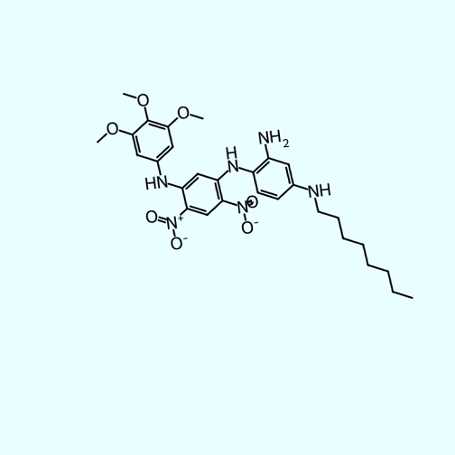 CCCCCCCCNc1ccc(Nc2cc(Nc3cc(OC)c(OC)c(OC)c3)c([N+](=O)[O-])cc2[N+](=O)[O-])c(N)c1